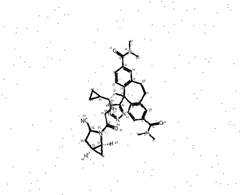 CN(C)C(=O)c1ccc2c(c1)CCc1cc(C(=O)N(C)C)ccc1C2(C[C@H](NCC(=O)N1C(C#N)C[C@@H]2C[C@@H]21)C1CC1)c1nnn[nH]1